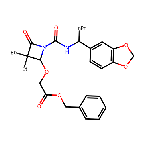 CCCC(NC(=O)N1C(=O)C(CC)(CC)C1OCC(=O)OCc1ccccc1)c1ccc2c(c1)OCO2